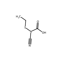 CCSN(C#N)C(=O)O